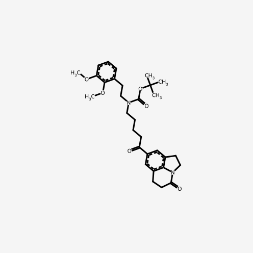 COc1cccc(CCN(CCCCC(=O)c2cc3c4c(c2)CCN4C(=O)CC3)C(=O)OC(C)(C)C)c1OC